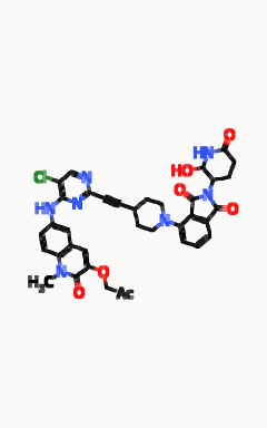 CC(=O)COc1cc2cc(Nc3nc(C#CC4CCN(c5cccc6c5C(=O)N(C5CCC(=O)NC5O)C6=O)CC4)ncc3Cl)ccc2n(C)c1=O